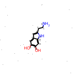 NCCc1cc2cc(O)c(O)cc2[nH]1